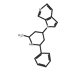 CC1CC(n2ccc3ccncc32)CC(c2ccccc2)N1